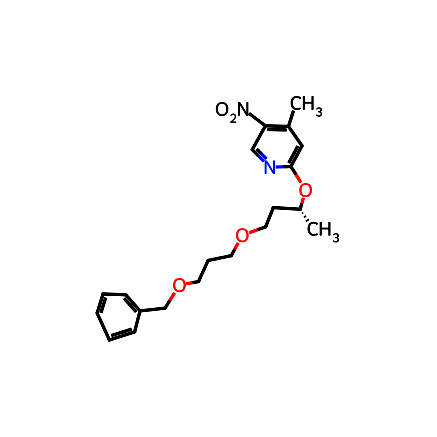 Cc1cc(O[C@H](C)CCOCCCOCc2ccccc2)ncc1[N+](=O)[O-]